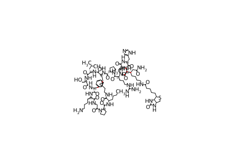 CCCCC(NC(=O)[C@H]1CCCN1C(=O)CNC(=O)[C@@H](CCCCN)NC(=O)[C@H]1CSSC[C@H](NC(=O)[C@@H]2CCCN2C(=O)[C@H](CCCNC(=N)N)NC(=O)[C@H](CCC(N)=O)NC(=O)[C@H](Cc2cnc[nH]2)NC(=O)[C@H](C)NC(=O)CCCCCNC(=O)CCCCC2SCC3NC(=O)NC32)C(=O)N[C@@H](CC(C)C)C(=O)N[C@H](CO)C(=O)N1)C(=O)NCCc1ccccc1